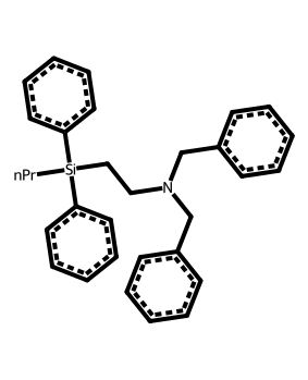 CCC[Si](CCN(Cc1ccccc1)Cc1ccccc1)(c1ccccc1)c1ccccc1